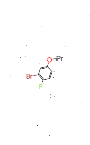 CC(C)Oc1[c]cc(F)c(Br)c1